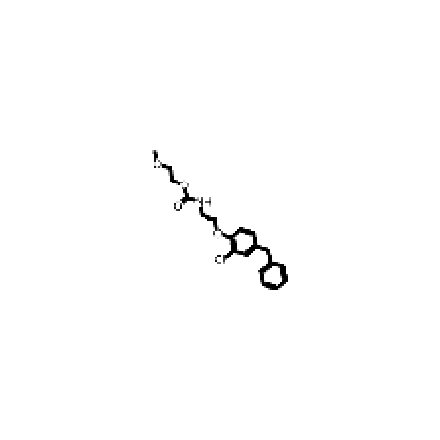 COCCOC(=O)NCCOc1ccc(Cc2ccccc2)cc1Cl